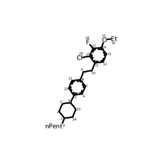 CCCCCC1CCC(c2ccc(CCc3ccc(OCC)c(F)c3Cl)cc2)CC1